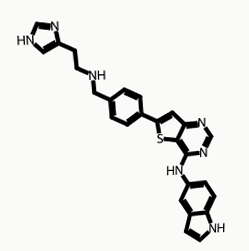 c1nc(Nc2ccc3[nH]ccc3c2)c2sc(-c3ccc(CNCCc4c[nH]cn4)cc3)cc2n1